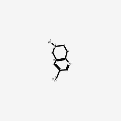 CC(C)N1CCc2ncc(C(F)(F)F)cc2C1